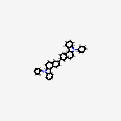 c1ccc(-n2c3ccccc3c3c4ccc(-c5ccc6c(ccc7c6c6ccccc6n7-c6ccccc6)c5)cc4ccc32)cc1